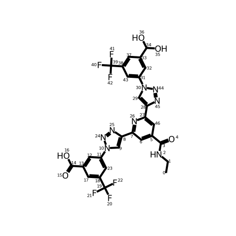 CCNC(=O)c1cc(-c2cn(-c3cc(C(=O)O)cc(C(F)(F)F)c3)nn2)nc(-c2cn(-c3cc(C(O)O)cc(C(F)(F)F)c3)nn2)c1